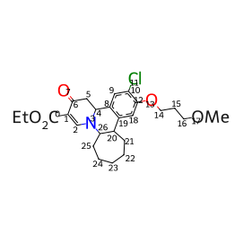 CCOC(=O)C1=CN2C(CC1=O)c1cc(Cl)c(OCCCOC)cc1C1CCCCCC12